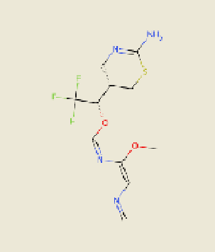 C=N/C=C(\N=C/O[C@@H]([C@@H]1CN=C(N)SC1)C(F)(F)F)OC